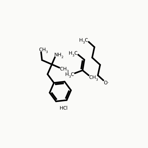 CC=C(C)C.CCC(C)(N)Cc1ccccc1.CCCCC[O].Cl